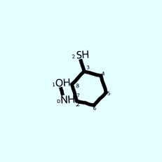 NO.SC1CCCCC1